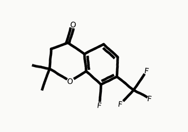 CC1(C)CC(=O)c2ccc(C(F)(F)F)c(F)c2O1